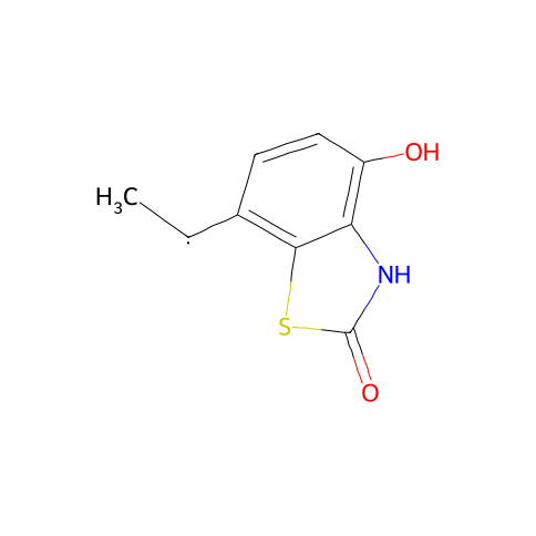 C[CH]c1ccc(O)c2[nH]c(=O)sc12